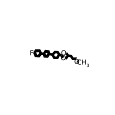 COCCCC1COC(C2CCC(c3ccc(-c4ccc(F)cc4)cc3)CC2)OC1